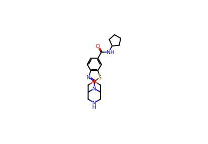 O=C(NC1CCCC1)c1ccc2nc(N3C4CNCC3COC4)sc2c1